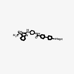 CCCCCCCc1ccc(-c2ccc(C(=O)N[C@H]3CC[C@@H](Nc4nc(N(C)C)c5ccccc5n4)CC3)cc2)cc1